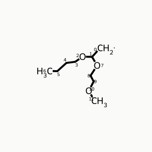 [CH2]C(OCCCC)OCCOC